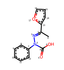 CC(=NN(C(=O)O)c1ccccc1)c1ccco1